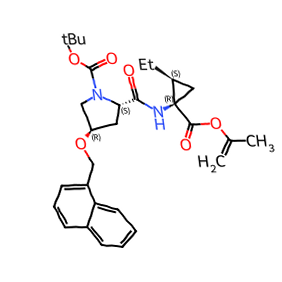 C=C(C)OC(=O)[C@@]1(NC(=O)[C@@H]2C[C@@H](OCc3cccc4ccccc34)CN2C(=O)OC(C)(C)C)C[C@@H]1CC